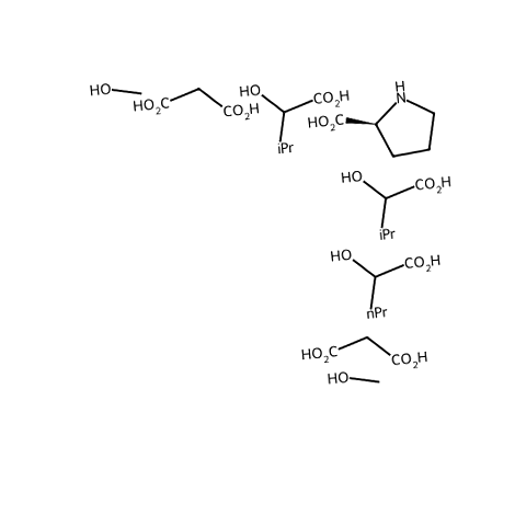 CC(C)C(O)C(=O)O.CC(C)C(O)C(=O)O.CCCC(O)C(=O)O.CO.CO.O=C(O)CC(=O)O.O=C(O)CC(=O)O.O=C(O)[C@@H]1CCCN1